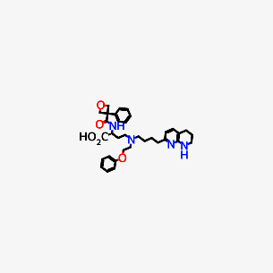 O=C(O)[C@H](CCN(CCCCc1ccc2c(n1)NCCC2)CCOc1ccccc1)NC(=O)C1(c2ccccc2)COC1